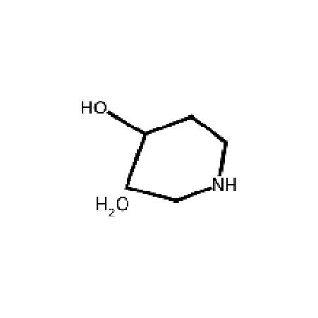 O.OC1CCNCC1